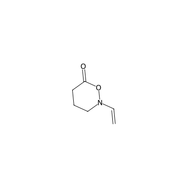 C=CN1CCCC(=O)O1